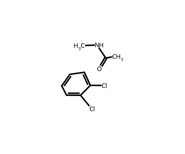 CNC(C)=O.Clc1ccccc1Cl